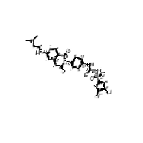 CN(C)CCNc1ccc2c(c1)CC(=O)N(c1ccc(NC(=O)NS(=O)(=O)c3cc(Cl)c(Cl)s3)cc1)C2=O